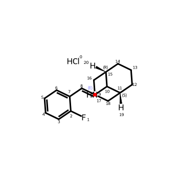 Cl.Fc1ccccc1/C=C/C1[C@@H]2CCC[C@H]1CNC2